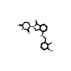 O=C1CC[C@@H](N2Cc3c(NCc4cccc(O)c4F)cccc3C2=O)C(=O)N1